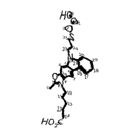 Cc1oc2cc3c(cc2[n+]1CCCCCC(=O)O)c1ccccc1n3CCCSOOO